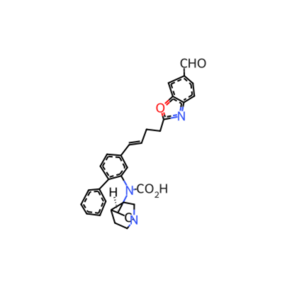 O=Cc1ccc2nc(CC/C=C/c3ccc(-c4ccccc4)c(N(C(=O)O)[C@H]4CN5CCC4CC5)c3)oc2c1